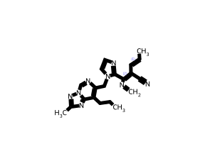 C=N/C(=C(C#N)/C=C/C)c1nccn1Cc1ncn2nc(C)nc2c1CCC